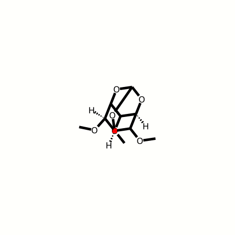 COC1C2OC3O[C@H]1C(OC)[C@H](O3)[C@H]2OC